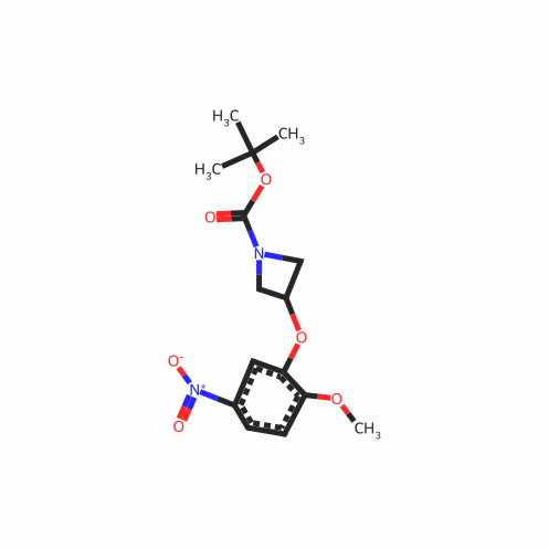 COc1ccc([N+](=O)[O-])cc1OC1CN(C(=O)OC(C)(C)C)C1